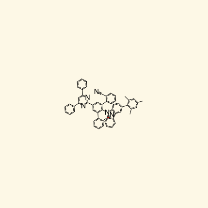 Cc1cc(C)c(-c2ccc3c(c2)c2ccccc2n3-c2c(-c3ccccc3C#N)cc(-c3nc(-c4ccccc4)cc(-c4ccccc4)n3)cc2-c2ccccc2C#N)c(C)c1